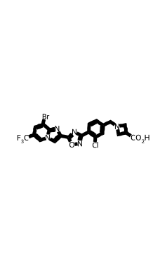 O=C(O)C1CN(Cc2ccc(-c3noc(-c4cn5cc(C(F)(F)F)cc(Br)c5n4)n3)c(Cl)c2)C1